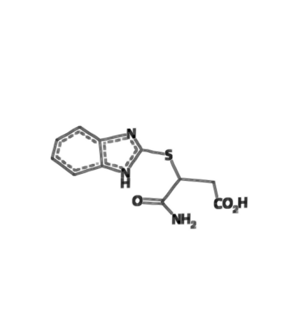 NC(=O)C(CC(=O)O)Sc1nc2ccccc2[nH]1